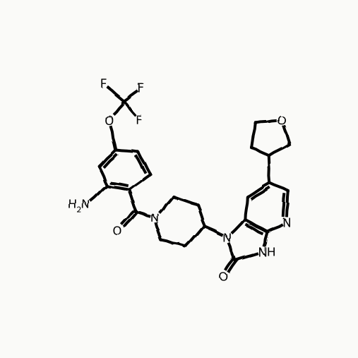 Nc1cc(OC(F)(F)F)ccc1C(=O)N1CCC(n2c(=O)[nH]c3ncc(C4CCOC4)cc32)CC1